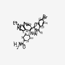 CCn1ncc2c(N[C@H]3CC[C@@H](C(N)=O)CC3)c(C(=O)N[C@H](C)c3ccc(Br)cc3)cnc21